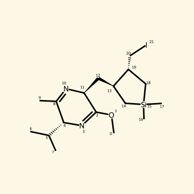 COC1=N[C@H](C(C)C)C(C)=N[C@H]1C[C@@H]1C[Si](C)(C)C[C@H]1CI